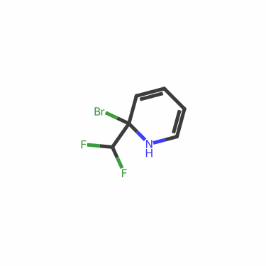 FC(F)C1(Br)C=CC=CN1